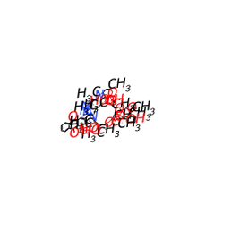 CC[C@H]1OC(=O)[C@H](C)[C@@H](O[C@H]2C[C@@](C)(OC)[C@@H](O)[C@H](C)O2)[C@H](C)[C@@H](O[C@@H]2O[C@H](C)C[C@H](N(C)CCc3cn(Cc4ccc5c(c4)C(=O)c4ccccc4C5=O)nn3)[C@H]2O)[C@](C)(O)C[C@@H](C)CN(C)[C@H](C)[C@@H](O)[C@]1(C)O